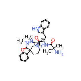 CN(C)N(C)C(=O)[C@@]1(c2ccccc2)CCCN(C(=O)[C@@H](Cc2c[nH]c3ccccc23)NC(=O)C(C)(C)N)C1